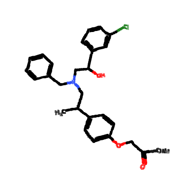 COC(=O)COc1ccc(C(C)CN(Cc2ccccc2)CC(O)c2cccc(Cl)c2)cc1